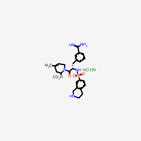 CC1=CCN(C(=O)[C@H](Cc2cccc(C(=N)N)c2)NS(=O)(=O)c2ccc3c(c2)CNCC3)C(C(=O)O)C1.Cl.Cl